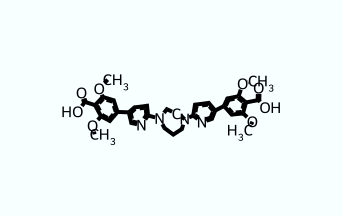 COc1cc(-c2ccc(N3CCCN(c4ccc(-c5cc(OC)c(C(=O)O)c(OC)c5)cn4)CC3)nc2)cc(OC)c1C(=O)O